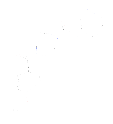 CCCCCOc1ccc(C(=O)N2CCN(C(=O)Nc3cccnc3)CC2)cc1